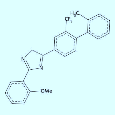 COc1ccccc1C1=NCC(c2ccc(-c3ccccc3C)c(C(F)(F)F)c2)=N1